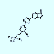 CC(C)(C)CCc1ccc(-c2nnc(-c3ccc4[nH]ccc4c3)o2)cc1C#N